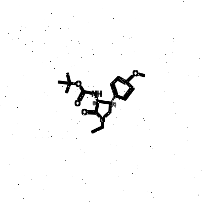 CCN1C[C@@H](c2ccc(OC)cc2)[C@H](NC(=O)OC(C)(C)C)C1=O